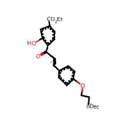 CCCCCCCCCCCCOc1ccc(/C=C/C(=O)c2ccc(C(=O)OCC)cc2O)cc1